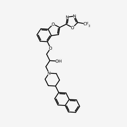 OC(COc1cccc2oc(-c3nnc(C(F)(F)F)o3)cc12)CN1CCC(c2ccc3ccccc3c2)CC1